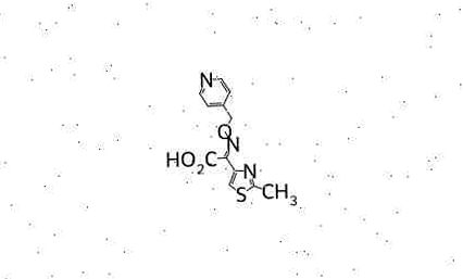 Cc1nc(/C(=N/OCc2ccncc2)C(=O)O)cs1